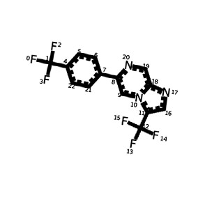 FC(F)(F)c1ccc(-c2cn3c(C(F)(F)F)cnc3cn2)cc1